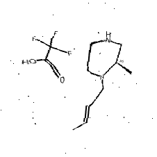 CC=CCN1CCNC[C@H]1C.O=C(O)C(F)(F)F